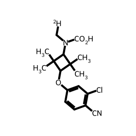 [2H]CN(C(=O)O)C1C(C)(C)C(Oc2ccc(C#N)c(Cl)c2)C1(C)C